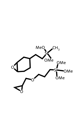 CO[Si](C)(CCC1CCC2OC2C1)OC.CO[Si](CCCOCC1CO1)(OC)OC